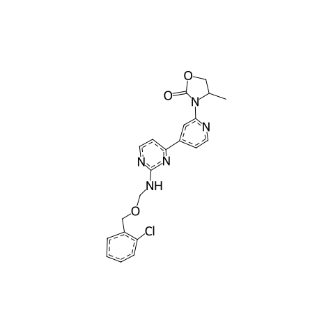 CC1COC(=O)N1c1cc(-c2ccnc(NCOCc3ccccc3Cl)n2)ccn1